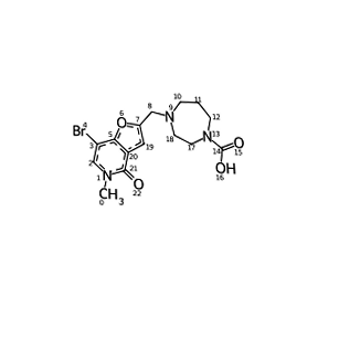 Cn1cc(Br)c2oc(CN3CCCN(C(=O)O)CC3)cc2c1=O